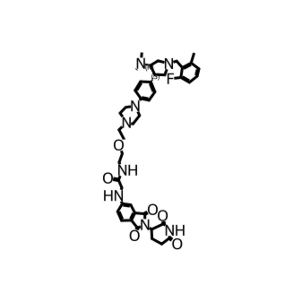 Cc1cccc(F)c1CN1C[C@H](c2ccc(N3CCN(CCOCCNC(=O)CNc4ccc5c(c4)C(=O)N(C4CCC(=O)NC4=O)C5=O)CC3)cc2)[C@@H](N(C)C)C1